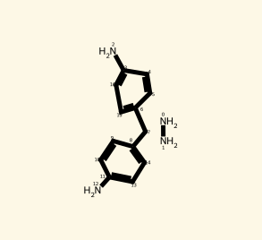 NN.Nc1ccc(Cc2ccc(N)cc2)cc1